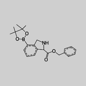 CC1(C)OB(c2cccc3c2CNC3C(=O)OCc2ccccc2)OC1(C)C